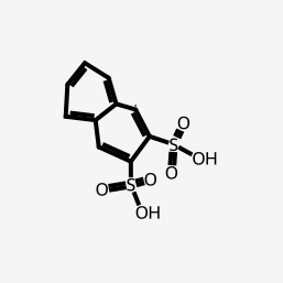 O=S(=O)(O)c1[c]c2ccccc2cc1S(=O)(=O)O